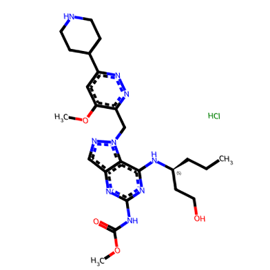 CCC[C@@H](CCO)Nc1nc(NC(=O)OC)nc2cnn(Cc3nnc(C4CCNCC4)cc3OC)c12.Cl